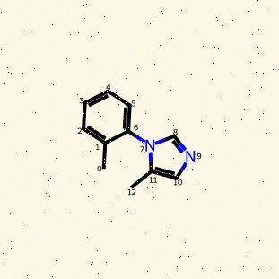 Cc1ccccc1-n1cncc1C